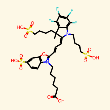 CC1(CCCCS(=O)(=O)O)/C(=C\C=C\c2oc3cc(S(=O)(=O)O)ccc3[n+]2CCCCCC(=O)O)N(CCCCS(=O)(=O)O)c2c(F)c(F)c(F)c(F)c21